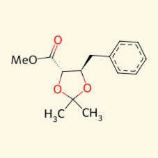 COC(=O)[C@H]1OC(C)(C)O[C@@H]1Cc1ccccc1